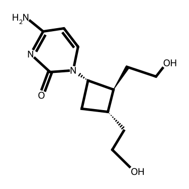 Nc1ccn([C@H]2C[C@@H](CCO)[C@@H]2CCO)c(=O)n1